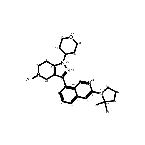 CC(=O)N1CCc2c(c(-c3cccc4cc(N5CCCC5(C)C)ncc34)nn2C2CCOCC2)C1